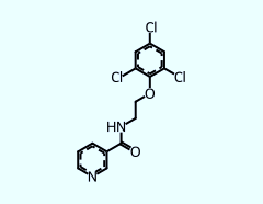 O=C(NCCOc1c(Cl)cc(Cl)cc1Cl)c1cccnc1